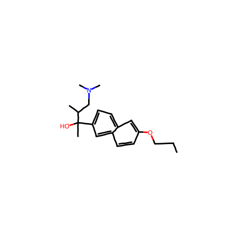 CCCOc1ccc2cc(C(C)(O)C(C)CN(C)C)ccc2c1